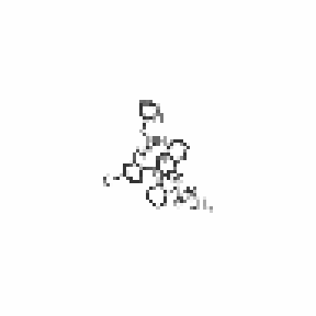 CS(=O)(=O)NC1CCCC[C@@H]1N1C(=O)c2ccccc2[C@@H](C(=O)NCc2ccccn2)[C@@H]1c1ccc(Cl)cc1Cl